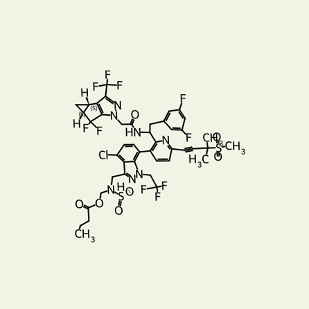 CCCC(=O)OCN(Cc1nn(CC(F)(F)F)c2c(-c3ccc(C#CC(C)(C)S(C)(=O)=O)nc3C(Cc3cc(F)cc(F)c3)NC(=O)Cn3nc(C(F)(F)F)c4c3C(F)(F)[C@@H]3C[C@H]43)ccc(Cl)c12)[SH](=O)=O